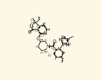 Cc1nc(-c2cc(F)ccc2C(=O)N2C[C@H](Oc3nccc4c3C(=O)OC4(C)C)CC[C@H]2C)no1